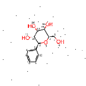 OC[C@H]1O[C@@H](c2cc[c]cc2)[C@H](O)[C@@H](O)[C@H]1O